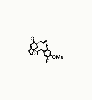 C=CC[C@@H]1C[C@@]2(C(C)Cc3cc(F)c(OC)cc3F)OCCC2=CC1=O